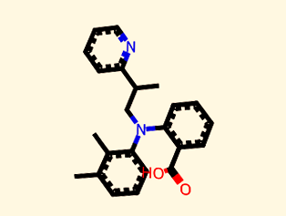 Cc1cccc(N(CC(C)c2ccccn2)c2ccccc2C(=O)O)c1C